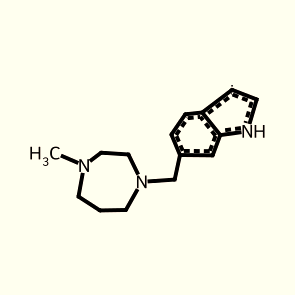 CN1CCCN(Cc2ccc3[c]c[nH]c3c2)CC1